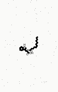 CCCCCC/C=C\CCCC(=O)NC(Cc1c[nH]c2ccccc12)C(=O)O